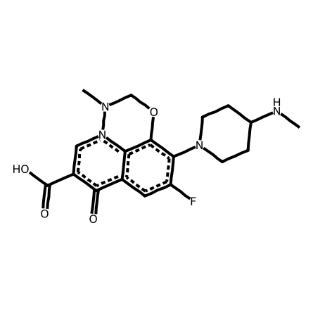 CNC1CCN(c2c(F)cc3c(=O)c(C(=O)O)cn4c3c2OCN4C)CC1